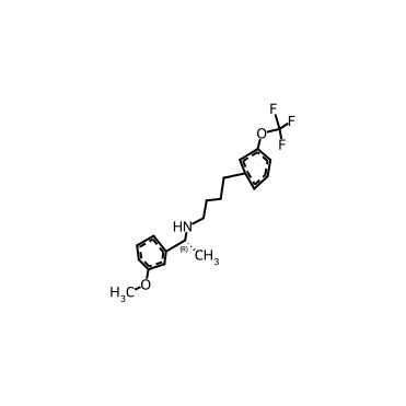 COc1cccc([C@@H](C)NCCCCc2cccc(OC(F)(F)F)c2)c1